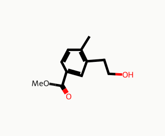 COC(=O)c1ccc(C)c(CCO)c1